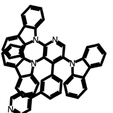 c1cc(-c2ccncc2)cc(-c2c(-n3c4ccccc4c4ccccc43)cnc(-n3c4ccccc4c4ccccc43)c2-n2c3ccccc3c3ccccc32)c1